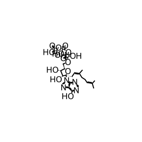 CC(C)=CCCC(C)=CC[C@@]1(n2cnc3c(O)ncnc32)O[C@H](COP(=O)(O)OP(=O)(O)OP(=O)(O)O)[C@@H](O)[C@H]1O